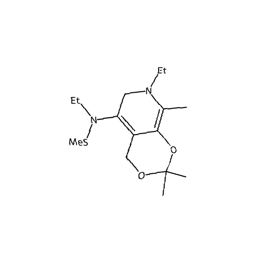 CCN1CC(N(CC)SC)=C2COC(C)(C)OC2=C1C